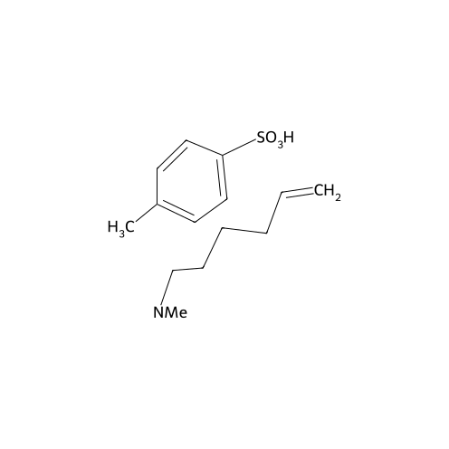 C=CCCCCNC.Cc1ccc(S(=O)(=O)O)cc1